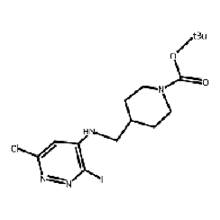 CC(C)(C)OC(=O)N1CCC(CNc2cc(Cl)nnc2I)CC1